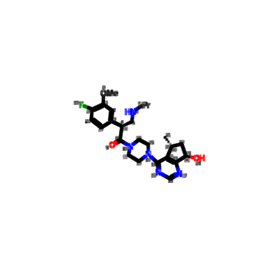 COc1cc([C@@H](CNC(C)C)C(=O)N2CCN(c3ncnc4c3[C@H](C)C[C@H]4O)CC2)ccc1F